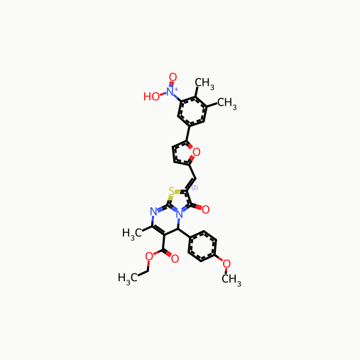 CCOC(=O)C1=C(C)N=c2s/c(=C\c3ccc(-c4cc(C)c(C)c([N+](=O)O)c4)o3)c(=O)n2C1c1ccc(OC)cc1